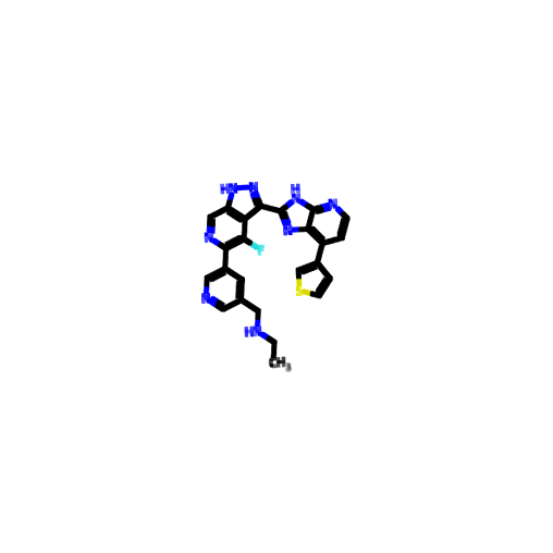 CCNCc1cncc(-c2ncc3[nH]nc(-c4nc5c(-c6ccsc6)ccnc5[nH]4)c3c2F)c1